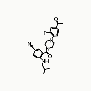 CC(=O)c1ccc(N2CCN(C(=O)c3cc(C#N)ccc3NCC(C)C)CC2)c(F)c1